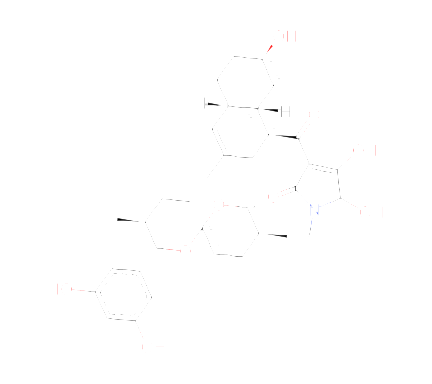 CC1=C[C@@H]2CC[C@@H](O)[C@H](C)[C@@H]2[C@@H](C(=O)C2=C(O)C(O)N(C)C2=O)[C@@H]1C[C@H]1O[C@@]2(CC[C@H](C)[C@@H](c3cc(O)cc(O)c3)O2)[C@@H](C)C[C@@H]1C